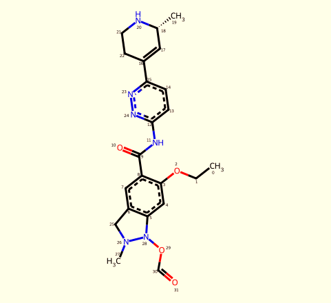 CCOc1cc2c(cc1C(=O)Nc1ccc(C3=C[C@@H](C)NCC3)nn1)CN(C)N2OC=O